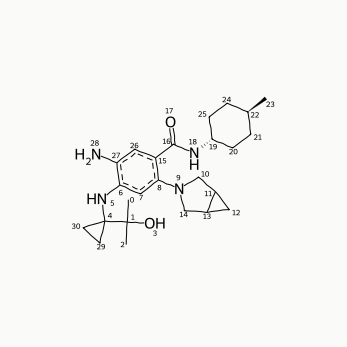 CC(C)(O)C1(Nc2cc(N3CC4CC4C3)c(C(=O)N[C@H]3CC[C@H](C)CC3)cc2N)CC1